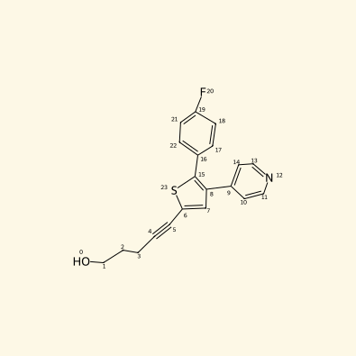 OCCCC#Cc1cc(-c2ccncc2)c(-c2ccc(F)cc2)s1